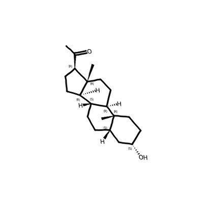 CC(=O)[C@@H]1CC[C@@H]2[C@H]3CC[C@H]4C[C@@H](O)CC[C@@]4(C)[C@@H]3CC[C@]21C